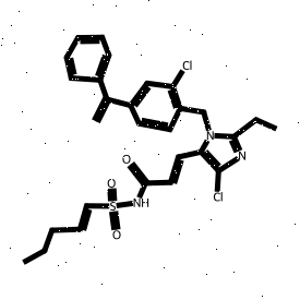 C=C(c1ccccc1)c1ccc(Cn2c(CC)nc(Cl)c2/C=C/C(=O)NS(=O)(=O)/C=C/CCC)c(Cl)c1